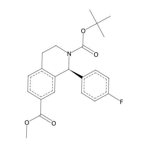 COC(=O)c1ccc2c(c1)[C@H](c1ccc(F)cc1)N(C(=O)OC(C)(C)C)CC2